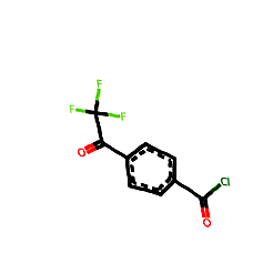 O=C(Cl)c1ccc(C(=O)C(F)(F)F)cc1